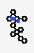 c1ccc(-c2cc(-c3ccccc3-c3ccccn3)nc(-c3cccc(-c4c5ccccc5c(-c5ccc6ccccc6c5)c5ccccc45)c3)n2)cc1